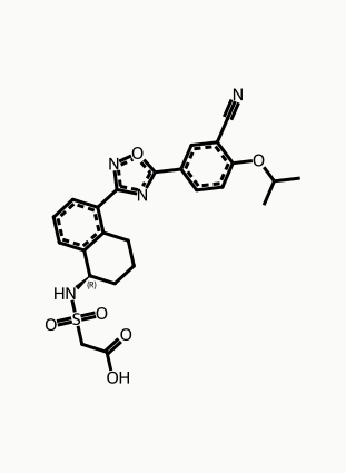 CC(C)Oc1ccc(-c2nc(-c3cccc4c3CCC[C@H]4NS(=O)(=O)CC(=O)O)no2)cc1C#N